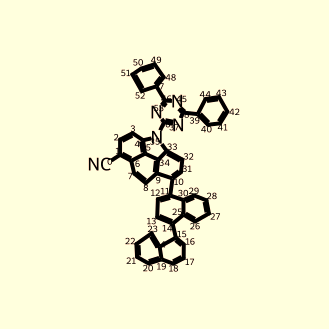 N#Cc1ccc2c3c1ccc1c(-c4ccc(-c5cccc6ccccc56)c5ccccc45)ccc(c13)n2-c1nc(-c2ccccc2)nc(-c2ccccc2)n1